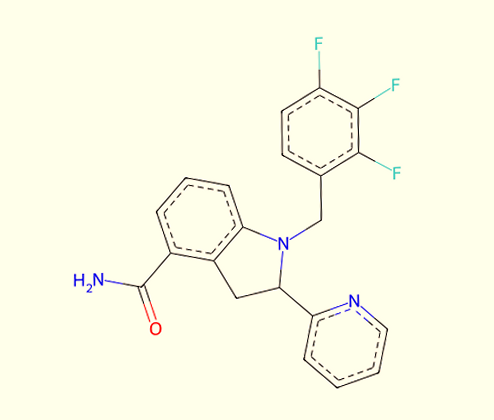 NC(=O)c1cccc2c1CC(c1ccccn1)N2Cc1ccc(F)c(F)c1F